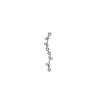 O=C(CCCCC(=O)OCc1ccc(-c2ccc(COC(=O)CCCC(=O)OCc3ccccc3)cc2)cc1)OCc1ccccc1